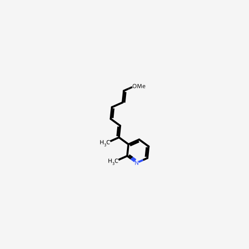 CO/C=C/C=C\C=C(/C)c1cccnc1C